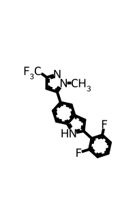 Cn1nc(C(F)(F)F)cc1-c1ccc2[nH]c(-c3c(F)cccc3F)cc2c1